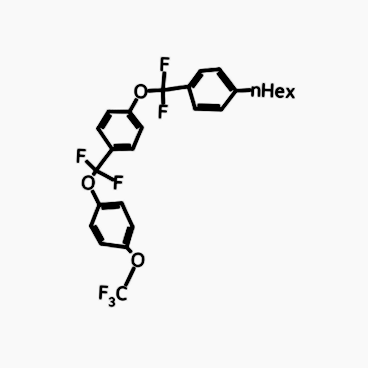 CCCCCCc1ccc(C(F)(F)Oc2ccc(C(F)(F)Oc3ccc(OC(F)(F)F)cc3)cc2)cc1